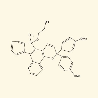 COC1=CCC(C2(c3ccc(OC)cc3)C=Cc3c4c(c5ccccc5c3O2)-c2ccccc2C4(C)OCCO)C=C1